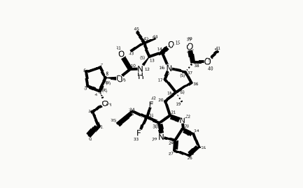 C=CCO[C@@H]1CCC[C@H]1OC(=O)N[C@H](C(=O)N1C[C@](C)(Cc2nc3ccccc3nc2C(F)(F)C=C)C[C@H]1C(=O)OC)C(C)(C)C